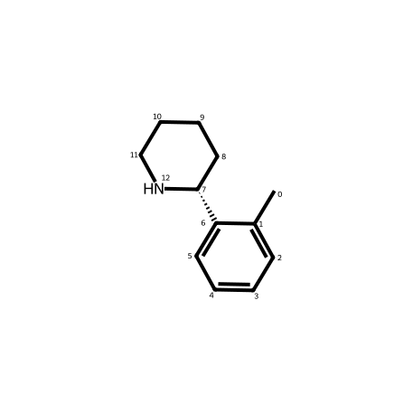 Cc1ccccc1[C@H]1CCCCN1